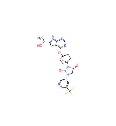 CC(O)c1cc2c(OC34CCC(N5C(=O)CN(c6cncc(C(F)(F)F)c6)C5=O)(CC3)C4)ncnc2[nH]1